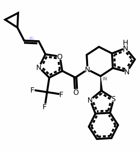 O=C(c1oc(/C=C/C2CC2)nc1C(F)(F)F)N1CCc2[nH]cnc2[C@H]1c1nc2ccccc2s1